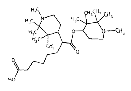 CN1CCC(OC(=O)C(CCCCCC(=O)O)C2CCN(C)C(C)(C)C2(C)C)C(C)(C)C1(C)C